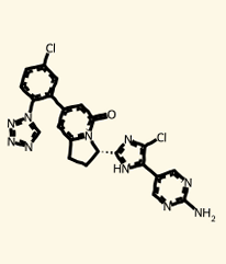 Nc1ncc(-c2[nH]c([C@@H]3CCc4cc(-c5cc(Cl)ccc5-n5cnnn5)cc(=O)n43)nc2Cl)cn1